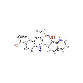 COC(=O)c1ccc(NC(c2cccs2)c2ccc3cccnc3c2O)cc1